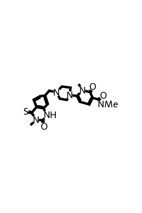 CNC(=O)c1ccc(N2CCN(Cc3ccc4c(=S)n(C)c(=O)[nH]c4c3)CC2)n(C)c1=O